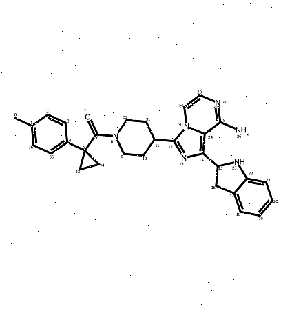 Cc1ccc(C2(C(=O)N3CCC(c4nc(C5Cc6ccccc6N5)c5c(N)nccn45)CC3)CC2)cc1